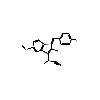 COc1ccc2c(c1)C(C(C)C#N)=C(C)C2=Cc1ccc(Cl)cc1